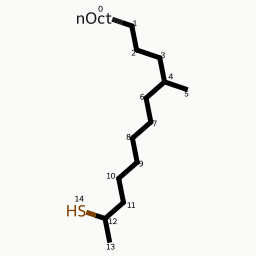 CCCCCCCCCCCC(C)CCCCCCC(C)S